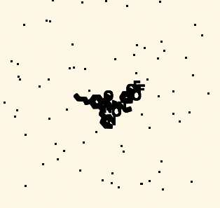 CCCCc1ccc2c(=O)n(CC(=O)N(CC)c3ccc4c(c3)OC(F)(F)O4)nc(Cc3cccnc3)c2c1